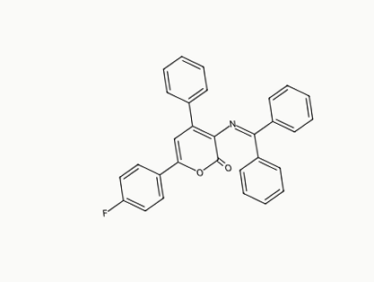 O=c1oc(-c2ccc(F)cc2)cc(-c2ccccc2)c1N=C(c1ccccc1)c1ccccc1